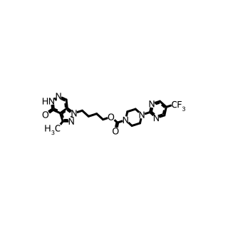 Cc1nn(CCCCOC(=O)N2CCN(c3ncc(C(F)(F)F)cn3)CC2)c2cn[nH]c(=O)c12